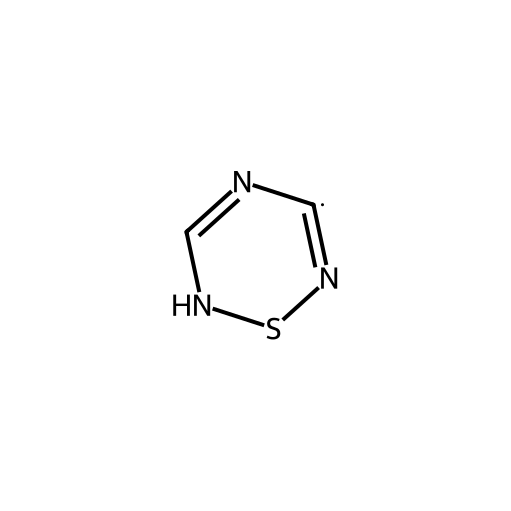 [C]1=NSNC=N1